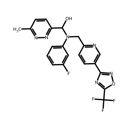 Cc1ccc(C(O)N(Cc2ccc(-c3noc(C(F)(F)F)n3)cn2)c2cccc(F)c2)nn1